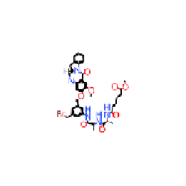 COC(=O)CCCCC(=O)N[C@@H](C)C(=O)NC(C)C(=O)Nc1cc(CBr)cc(COc2cc3c(cc2OC)C(=O)N2c4ccccc4C[C@H]2C=N3)c1